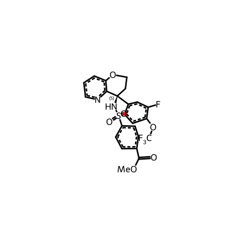 COC(=O)c1ccc(S(=O)(=O)N[C@]2(c3ccc(OC(F)(F)F)c(F)c3)CCOc3cccnc32)cc1